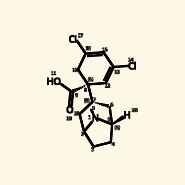 CN1C2CC[C@H]1C[C@@H]([C@]1(C(=O)O)C=C(Cl)C=C(Cl)C1)C2